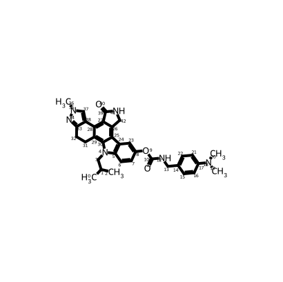 CC(C)Cn1c2ccc(OC(=O)NCc3ccc(N(C)C)cc3)cc2c2c3c(c4c(c21)CCc1nn(C)cc1-4)C(=O)NC3